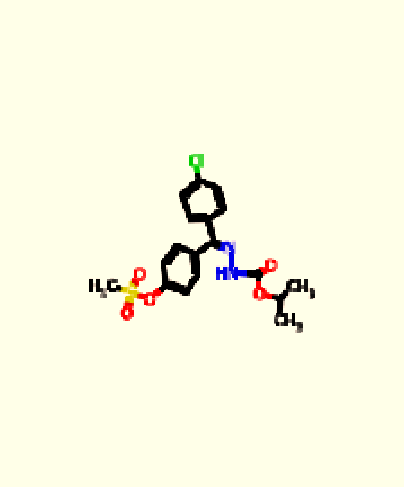 CC(C)OC(=O)NN=C(c1ccc(Cl)cc1)c1ccc(OS(C)(=O)=O)cc1